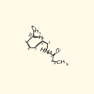 CCC(=O)NCc1cccc(C)n1